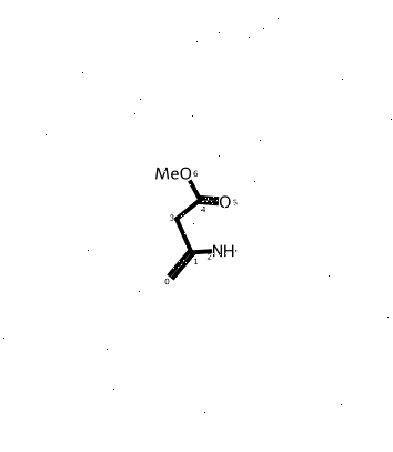 C=C([NH])CC(=O)OC